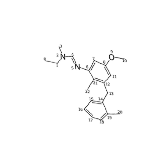 CCN(C)C=Nc1cc(OC)cc(Cc2ccccc2C)c1C